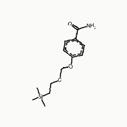 C[Si](C)(C)CCOCOc1ccc(C(N)=O)cc1